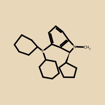 CN1c2cccc(P(C3CCCCC3)C3CCCCC3)c2[C@@H]1C1CCCC1